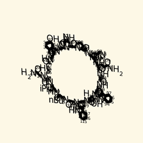 CCCC[C@H]1C(=O)N(C)[C@@H](CCCC)C(=O)N[C@@H](CC(C)C)C(=O)N[C@H](C(=O)NCC(N)=O)CSCC(=O)N[C@@H](Cc2ccc(O)cc2)C(=O)N(C)[C@@H](C)C(=O)N[C@@H](CC(N)=O)C(=O)N2CCCC2C(=O)N[C@@H](Cc2cnc[nH]2)C(=O)N[C@@H](CCC(N)=O)C(=O)N[C@H](C)C(=O)N[C@@H](Cc2c[nH]c3ccccc23)C(=O)N[C@@H](CO)C(=O)N[C@@H](Cc2c[nH]c3ccccc23)C(=O)N1C